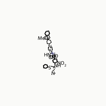 COC1(Cc2ccccc2Cl)CCC(N2CCN(/C(=N/S(=O)(=O)c3ccc(N[C@H](CCN(C)C)CSc4ccccc4)c([N+](=O)[O-])c3)NC#N)CC2)CC1